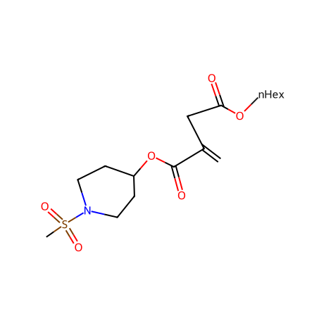 C=C(CC(=O)OCCCCCC)C(=O)OC1CCN(S(C)(=O)=O)CC1